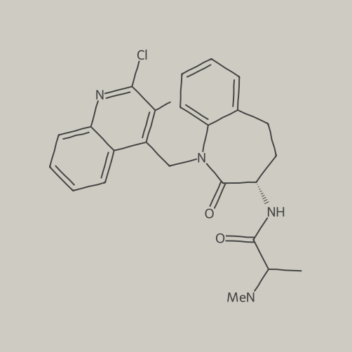 CNC(C)C(=O)N[C@H]1CCc2ccccc2N(Cc2c(C)c(Cl)nc3ccccc23)C1=O